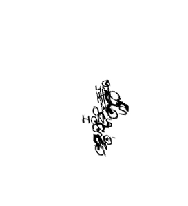 COCNC(=O)NC(C(=O)N[C@@H]1C(=O)N2C(C(=O)O)=C(CSc3ccc(Cl)n[n+]3[O-])CSC12)c1cccs1